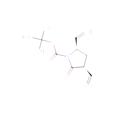 C=C[C@@H]1C[C@H](C=C)N(C(=O)OC(C)(C)C)C1=O